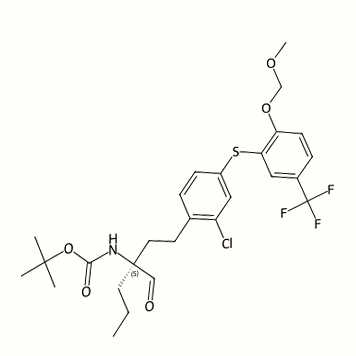 CCC[C@@](C=O)(CCc1ccc(Sc2cc(C(F)(F)F)ccc2OCOC)cc1Cl)NC(=O)OC(C)(C)C